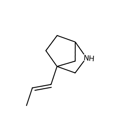 C/C=C/C12CCC(C1)NC2